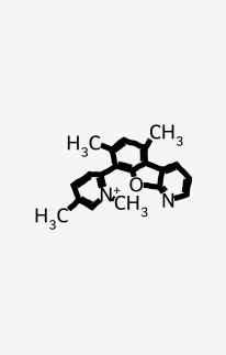 Cc1ccc(-c2c(C)cc(C)c3c2oc2ncccc23)[n+](C)c1